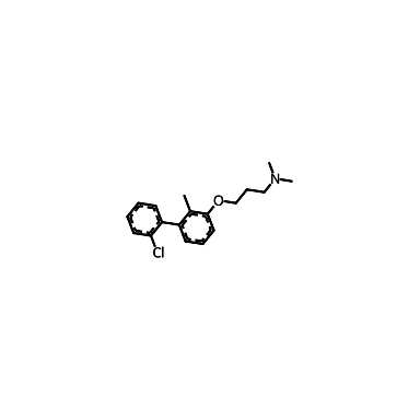 Cc1c(OCCCN(C)C)cccc1-c1ccccc1Cl